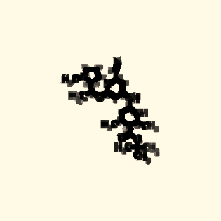 C[C@H](Oc1cc(NC2C[C@@H](C)N(C(=O)OC(C)(C)C)[C@H](C)N2)cc(C#N)n1)[C@@H]1CCCN1C